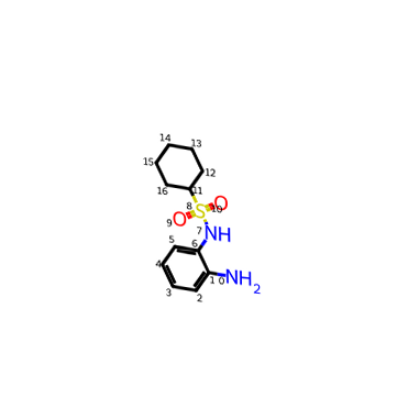 Nc1ccccc1NS(=O)(=O)C1CCCCC1